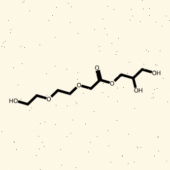 O=C(COCCOCCO)OCC(O)CO